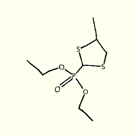 CCOP(=O)(OCC)C1SCC(C)S1